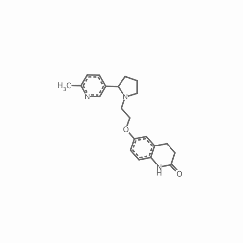 Cc1ccc(C2CCCN2CCOc2ccc3c(c2)CCC(=O)N3)cn1